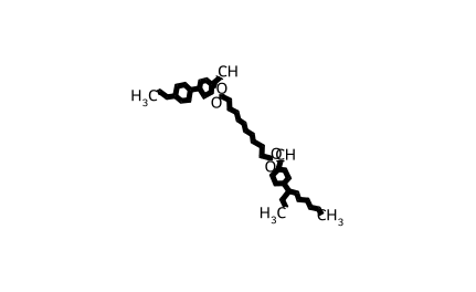 C#CC1(OC(=O)CCCCCCCCCCC(=O)OC2(C#C)CCC(C3CCC(CCC)CC3)CC2)CCC(C(CCC)CCCCCC)CC1